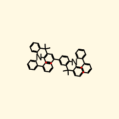 CC1(C)c2ccccc2N(c2ccccc2-c2ccccc2)c2ccc(-c3ccc4c(c3)C(C)(C)c3ccccc3N4c3ccccc3-c3ccccc3)cc21